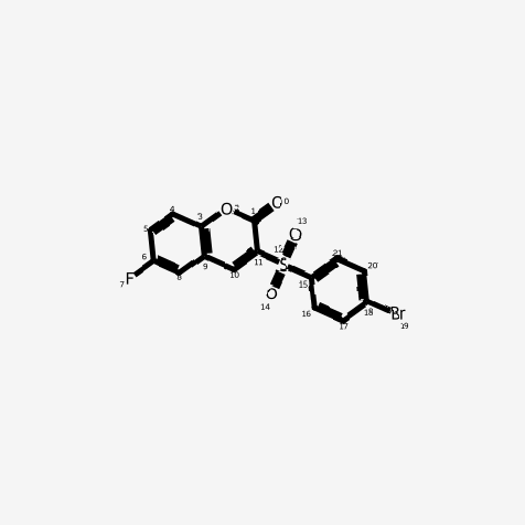 O=c1oc2ccc(F)cc2cc1S(=O)(=O)c1ccc(Br)cc1